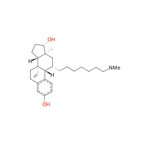 C=C[C@@]12CCc3cc(O)ccc3[C@H]1[C@@H](CCCCCCCNC)C[C@@]1(C)[C@H]2CC[C@@H]1O